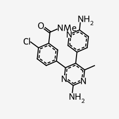 CNC(=O)c1cc(-c2nc(N)nc(C)c2-c2ccc(N)nc2)ccc1Cl